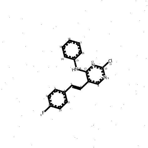 Fc1ccc(C=Cc2cnc(Cl)nc2Nc2ccccc2)cc1